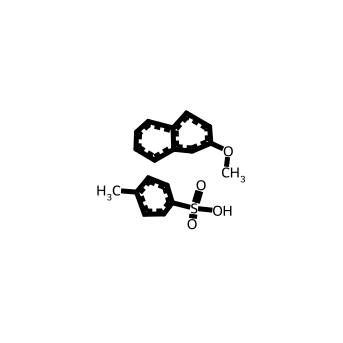 COc1ccc2ccccc2c1.Cc1ccc(S(=O)(=O)O)cc1